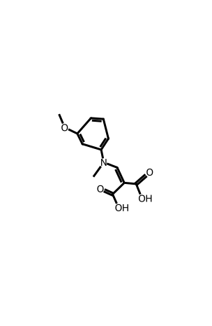 COc1cccc(N(C)C=C(C(=O)O)C(=O)O)c1